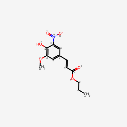 CCCOC(=O)/C=C/c1cc(OC)c(O)c([N+](=O)[O-])c1